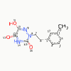 Cc1cccc(CCn2nc(O)c(=O)[nH]c2=O)c1